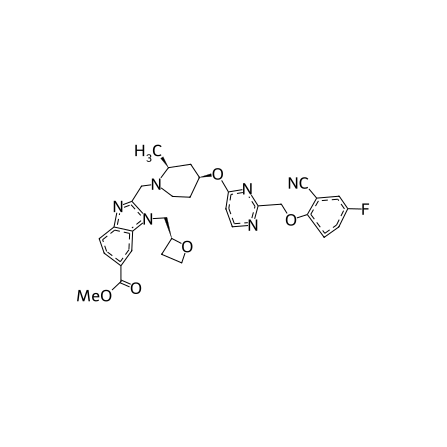 COC(=O)c1ccc2nc(CN3CC[C@H](Oc4ccnc(COc5ccc(F)cc5C#N)n4)C[C@@H]3C)n(C[C@@H]3CCO3)c2c1